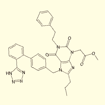 CCCc1nc2c(c(=O)n(CCc3ccccc3)c(=O)n2CC(=O)OC)n1Cc1ccc(-c2ccccc2-c2nnn[nH]2)cc1